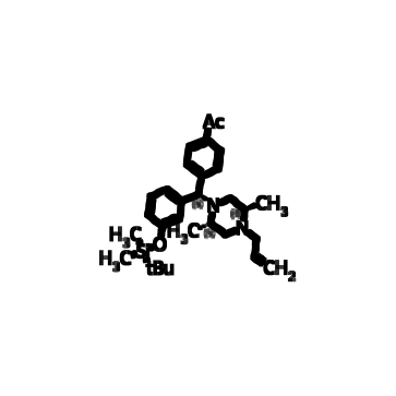 C=CCN1C[C@H](C)N([C@@H](c2ccc(C(C)=O)cc2)c2cccc(O[Si](C)(C)C(C)(C)C)c2)C[C@H]1C